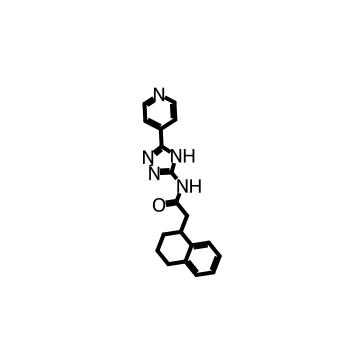 O=C(CC1CCCc2ccccc21)Nc1nnc(-c2ccncc2)[nH]1